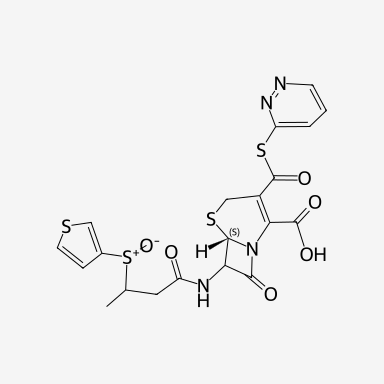 CC(CC(=O)NC1C(=O)N2C(C(=O)O)=C(C(=O)Sc3cccnn3)CS[C@@H]12)[S+]([O-])c1ccsc1